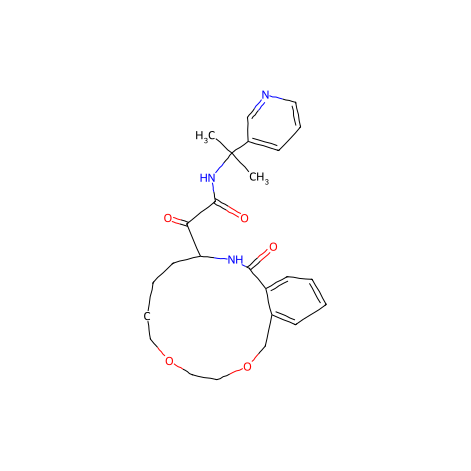 CC(C)(NC(=O)C(=O)C1CCCCOCCOCc2ccccc2C(=O)N1)c1cccnc1